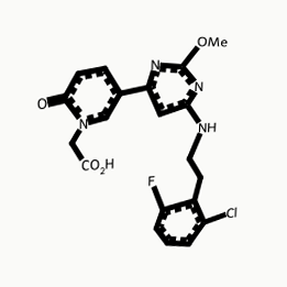 COc1nc(NCCc2c(F)cccc2Cl)cc(-c2ccc(=O)n(CC(=O)O)c2)n1